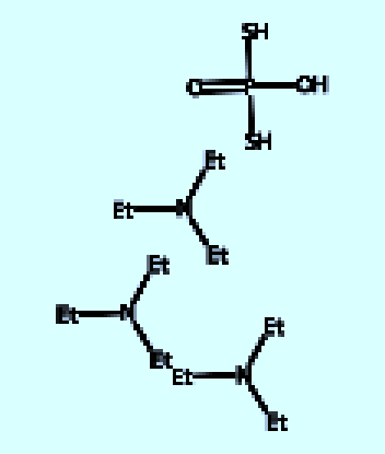 CCN(CC)CC.CCN(CC)CC.CCN(CC)CC.O=P(O)(S)S